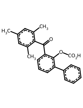 Cc1cc(C)c(C(=O)c2cccc(-c3ccccc3)c2OC(=O)O)c(C)c1